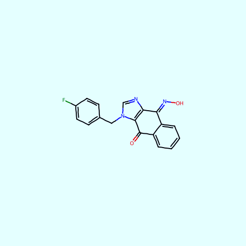 O=C1c2ccccc2C(=NO)c2ncn(Cc3ccc(F)cc3)c21